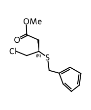 COC(=O)C[C@H](CCl)SCc1ccccc1